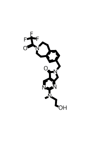 CN(CCO)c1ncc2c(n1)CN(Cc1ccc3c(c1)CCN(C(=O)C(F)(F)F)CC3)C2=O